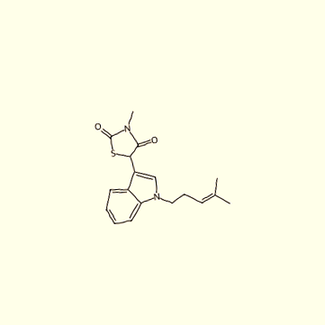 CC(C)=CCCn1cc(C2SC(=O)N(C)C2=O)c2ccccc21